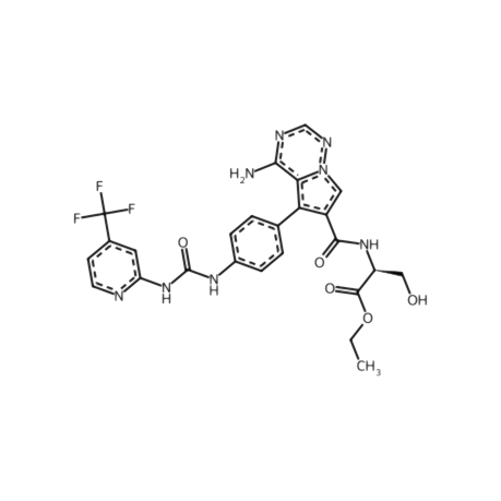 CCOC(=O)[C@H](CO)NC(=O)c1cn2ncnc(N)c2c1-c1ccc(NC(=O)Nc2cc(C(F)(F)F)ccn2)cc1